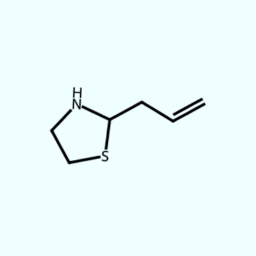 C=CCC1NCCS1